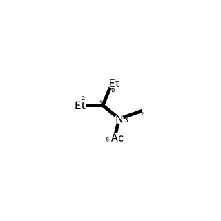 CCC(CC)N(C)C(C)=O